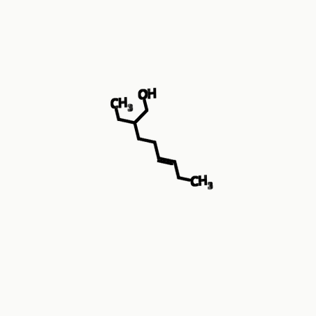 CCC=CCCC(CC)CO